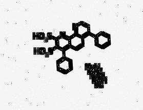 O=S(=O)(O)c1nc2c(ccc3c(-c4ccccc4)ccnc32)c(-c2ccccc2)c1S(=O)(=O)O.[NaH].[NaH].[NaH].[NaH].[Ru]